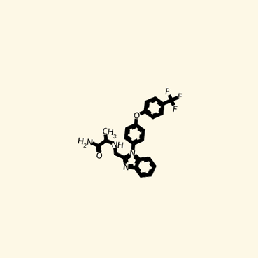 CC(NCc1nc2ccccc2n1-c1ccc(Oc2ccc(C(F)(F)F)cc2)cc1)C(N)=O